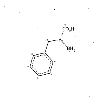 B[C@H](Cc1ccccc1)C(=O)O